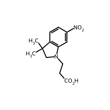 CC1(C)CN(CCC(=O)O)c2cc([N+](=O)[O-])ccc21